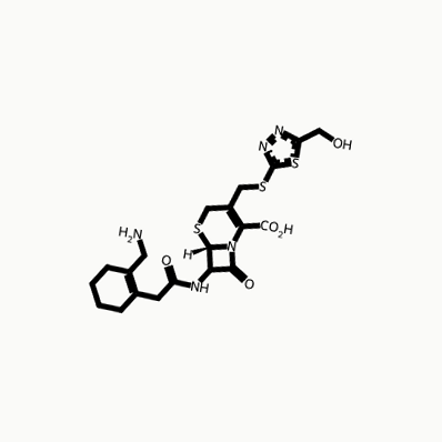 NCC1=C(CC(=O)NC2C(=O)N3C(C(=O)O)=C(CSc4nnc(CO)s4)CS[C@@H]23)CCCC1